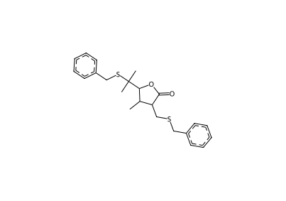 CC1C(CSCc2ccccc2)C(=O)OC1C(C)(C)SCc1ccccc1